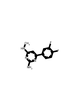 CNc1cc(-c2ccc(F)c(F)c2)nc(N)n1